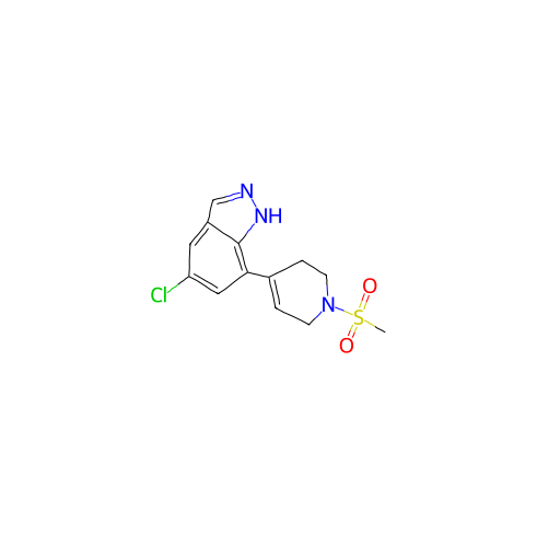 CS(=O)(=O)N1CC=C(c2cc(Cl)cc3cn[nH]c23)CC1